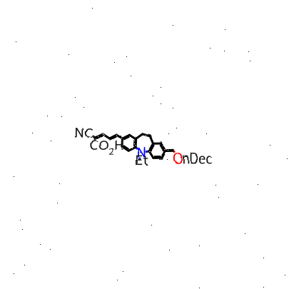 CCCCCCCCCCOCc1ccc2c(c1)CCc1cc(/C=C/C=C(/C#N)C(=O)O)ccc1N2CC